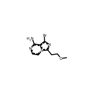 COCCc1nc(Br)c2c(N)nccn12